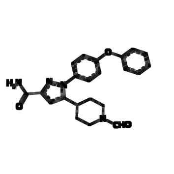 NC(=O)c1cc(C2CCN(C=O)CC2)n(-c2ccc(Oc3ccccc3)cc2)n1